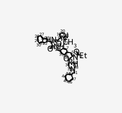 CCC(=O)N/C(=C/c1ccc(CNC(=O)[C@@H](NC(=O)c2ccnn2C)C2Cc3ccccc3C2)cc1)C(=O)N1CCN(Cc2ccccc2)CC1